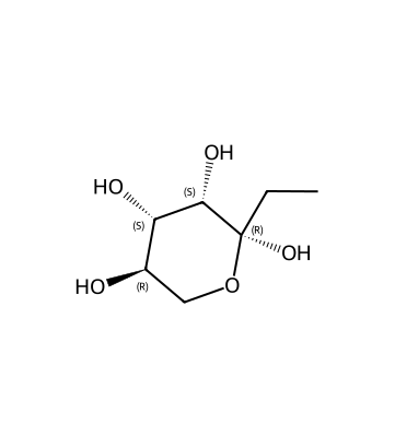 CC[C@@]1(O)OC[C@@H](O)[C@H](O)[C@@H]1O